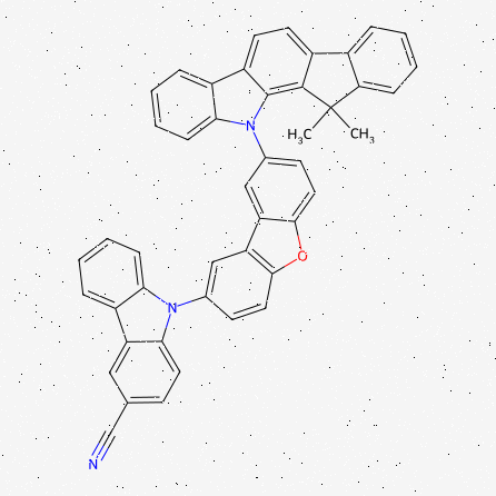 CC1(C)c2ccccc2-c2ccc3c4ccccc4n(-c4ccc5oc6ccc(-n7c8ccccc8c8cc(C#N)ccc87)cc6c5c4)c3c21